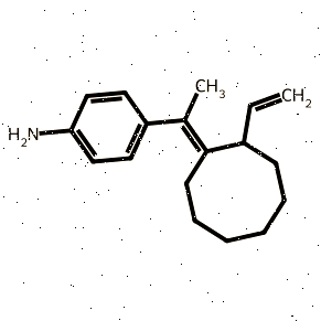 C=CC1CCCCCC/C1=C(/C)c1ccc(N)cc1